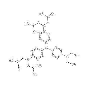 CCN(CC)c1ccc(N(c2ccc(N(CC(C)C)CC(C)C)cc2)c2ccc(N(CC(C)C)CC(C)C)cc2)cc1